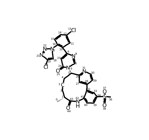 C[C@@H]1CCC[C@H](n2cnc(-c3cc(Cl)ccc3-n3cc(Cl)nn3)cc2=O)c2cc(ccn2)-c2cc(S(C)(=O)=O)ccc2NC1=O